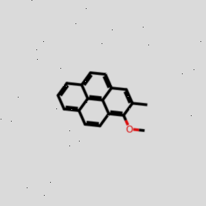 COc1c(C)cc2ccc3cccc4ccc1c2c34